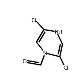 O=[C]N1C=C(Cl)NC=C1Cl